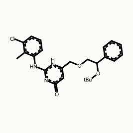 Cc1c(Cl)cccc1Nc1nc(=O)cc(COCC(OC(C)(C)C)c2ccccc2)[nH]1